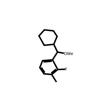 COC(c1cccc(C)c1F)C1CCCCC1